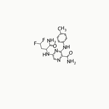 Cc1ccc(Nc2nc(NC(CC(F)F)C(N)=O)cnc2C(N)=O)cc1